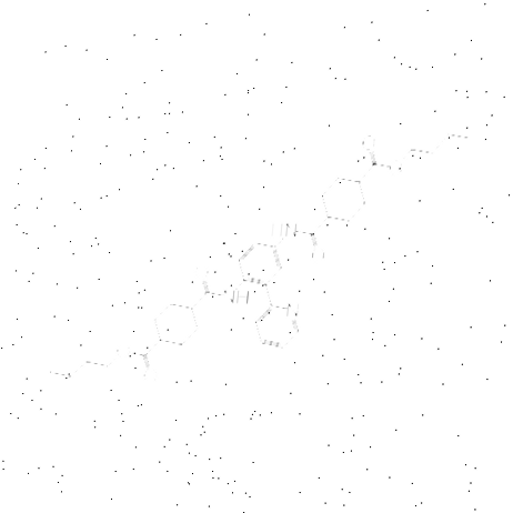 CCCCOC(=O)C1CCC(C(=O)Nc2ccc(NC(=O)C3CCC(C(=O)OCCCC)CC3)c(-c3ccccn3)c2)CC1